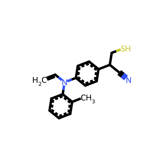 C=CN(c1ccc(C(C#N)CS)cc1)c1ccccc1C